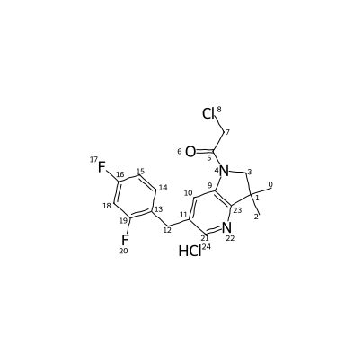 CC1(C)CN(C(=O)CCl)c2cc(Cc3ccc(F)cc3F)cnc21.Cl